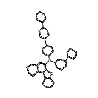 c1ccc(-c2ccc(-c3ccc(N(c4cccc(-c5ccccc5)c4)c4cc5ccccc5c5c4oc4ccccc45)cc3)cc2)cc1